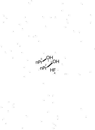 CCCO.CCCO.F